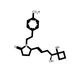 CCCC1([C@@H](O)C/C=C/C2CCC(=O)N2CCc2ccc(C(=O)O)cc2)CCC1